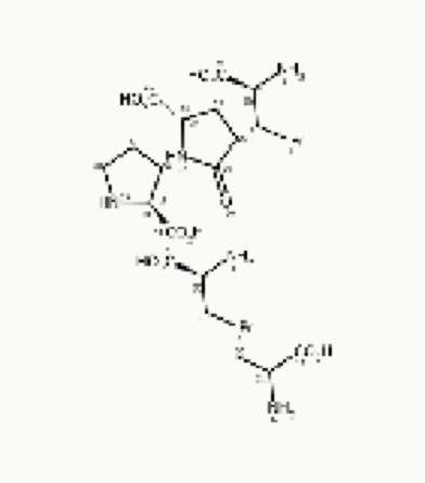 CC(C)C[C@H](N)C(=O)O.CC(C)C[C@H](N)C(=O)O.CC(N)C(=O)O.O=C(O)[C@@H]1CCCN1.O=C1CC[C@@H](C(=O)O)N1